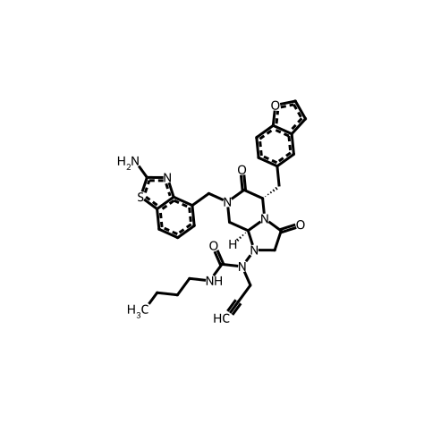 C#CCN(C(=O)NCCCC)N1CC(=O)N2[C@@H](Cc3ccc4occc4c3)C(=O)N(Cc3cccc4sc(N)nc34)C[C@@H]21